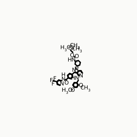 COc1ccc(CNc2nccc3c2c(-c2ccc(C(=O)Nc4cc(C(F)(F)F)ccn4)cc2)nn3[C@@H]2CCC[C@@H](NC(=O)OCC[Si](C)(C)C)C2)c(OC)c1